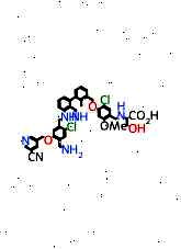 COc1cc(OCc2cccc(-c3cccc(NCc4cc(OCc5cncc(C#N)c5)c(CN)cc4Cl)c3C=N)c2C)c(Cl)cc1CN[C@@H](CO)C(=O)O